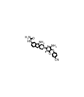 Cn1c(N2CCC3(CC2)Cc2ccc(NC(N)=O)cc2[C@H]3N)nc(N)c(Sc2ccc(C#N)cc2)c1=O